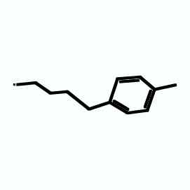 [CH2]CCCCc1ccc(C)cc1